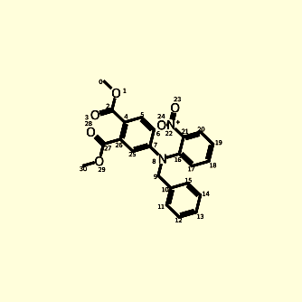 COC(=O)c1ccc(N(Cc2ccccc2)c2ccccc2[N+](=O)[O-])cc1C(=O)OC